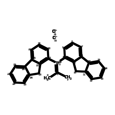 C[C](C)=[Ti+2]([c]1cccc2c1Cc1ccccc1-2)[c]1cccc2c1Cc1ccccc1-2.[Cl-].[Cl-]